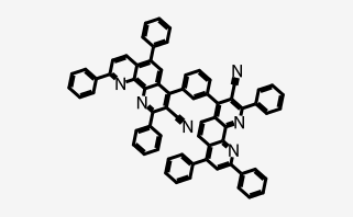 N#Cc1c(-c2ccccc2)nc2c(ccc3c(-c4ccccc4)cc(-c4ccccc4)nc32)c1-c1cccc(-c2c(C#N)c(-c3ccccc3)nc3c2cc(-c2ccccc2)c2ccc(-c4ccccc4)nc23)c1